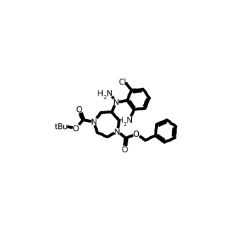 CC(C)(C)OC(=O)N1CCN(C(=O)OCc2ccccc2)CC(N(N)c2c(N)cccc2Cl)C1